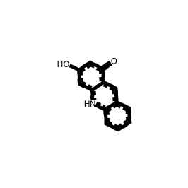 O=c1cc(O)cc2[nH]c3ccccc3cc1-2